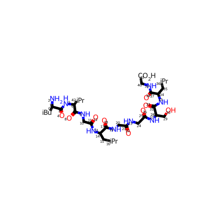 CCC(C)C(N)C(=O)NC(C(=O)NCC(=O)NC(CC(C)C)C(=O)NCC(=O)NCC(=O)NC(CO)C(=O)NC(CC(C)C)C(=O)NCC(=O)O)C(C)C